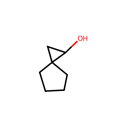 OC1CC12CCCC2